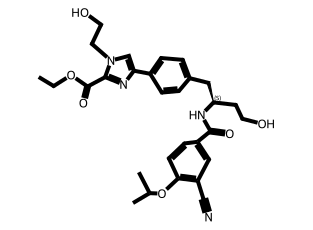 CCOC(=O)c1nc(-c2ccc(C[C@@H](CCO)NC(=O)c3ccc(OC(C)C)c(C#N)c3)cc2)cn1CCO